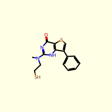 CN(CCS)c1nc(=O)c2scc(-c3ccccc3)c2[nH]1